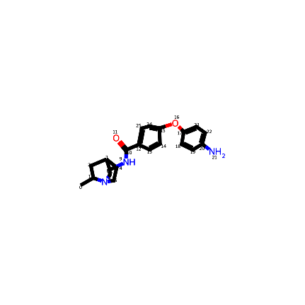 CC1CC2CCN1CC2NC(=O)c1ccc(Oc2ccc(N)cc2)cc1